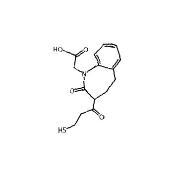 O=C(O)CN1C(=O)C(C(=O)CCS)CCc2ccccc21